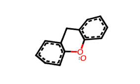 [O].c1ccc2c(c1)Cc1ccccc1O2